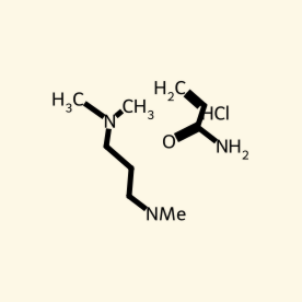 C=CC(N)=O.CNCCCN(C)C.Cl